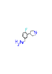 NCc1ccc(F)c(C2CC[N]CC2)c1